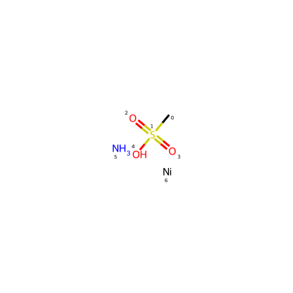 CS(=O)(=O)O.N.[Ni]